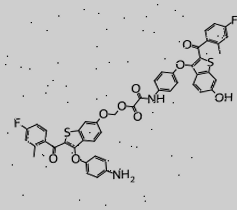 Cc1cc(F)ccc1C(=O)c1sc2cc(O)ccc2c1Oc1ccc(NC(=O)C(=O)OCOc2ccc3c(Oc4ccc(N)cc4)c(C(=O)c4ccc(F)cc4C)sc3c2)cc1